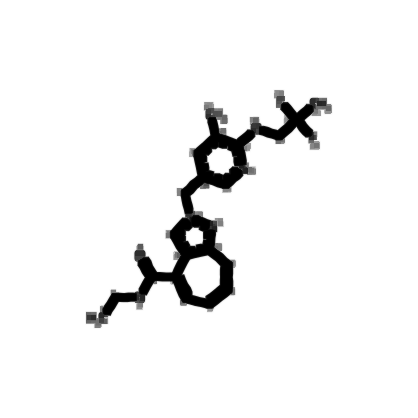 CCOC(=O)C1=CC=C=Cc2nn(Cc3cnc(OCC(C)(F)F)c(C)c3)cc21